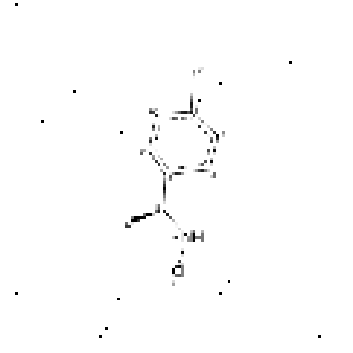 Cc1ccc([C@H](C)NCl)cc1